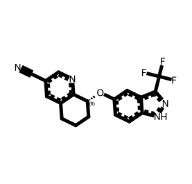 N#Cc1cnc2c(c1)CCC[C@H]2Oc1ccc2[nH]nc(C(F)(F)F)c2c1